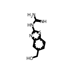 N=C(N)Nc1nc2cc(CO)ccc2s1